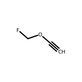 C#COCF